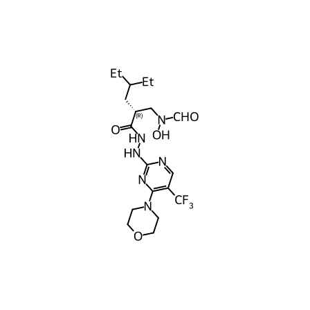 CCC(CC)C[C@H](CN(O)C=O)C(=O)NNc1ncc(C(F)(F)F)c(N2CCOCC2)n1